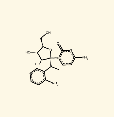 CC(c1ccccc1[N+](=O)[O-])[C@@]1(n2ccc(N)nc2=O)O[C@H](CO)[C@@H](O)[C@H]1O